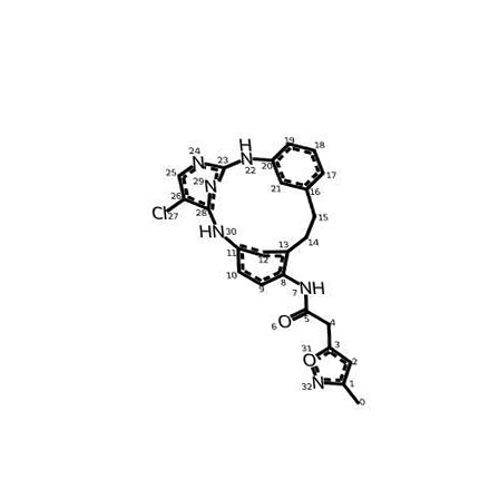 Cc1cc(CC(=O)Nc2ccc3cc2CCc2cccc(c2)Nc2ncc(Cl)c(n2)N3)on1